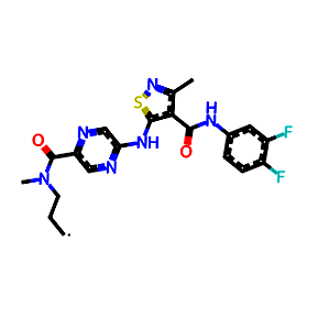 [CH2]CCN(C)C(=O)c1cnc(Nc2snc(C)c2C(=O)Nc2ccc(F)c(F)c2)cn1